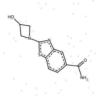 NC(=O)c1ccc2sc(N3CC(O)C3)nc2c1